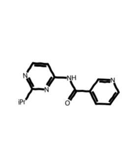 CC(C)c1nccc(NC(=O)c2cccnc2)n1